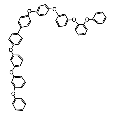 c1ccc(Oc2cccc(Oc3cccc(Oc4ccc(-c5ccc(Oc6ccc(Oc7cccc(Oc8ccccc8Oc8ccccc8)c7)cc6)cc5)cc4)c3)c2)cc1